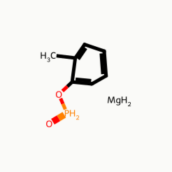 Cc1ccccc1O[PH2]=O.[MgH2]